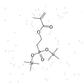 C=C(C)C(=O)OCCP(=O)(O[Si](C)(C)C)O[Si](C)(C)C